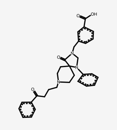 O=C(O)c1cccc(CN2CN(c3ccccc3)C3(CCN(CCCC(=O)c4ccccc4)CC3)C2=O)c1